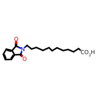 O=C(O)CCCCCCCCCCCN1C(=O)c2ccccc2C1=O